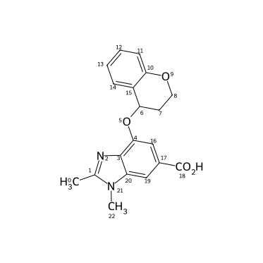 Cc1nc2c(OC3CCOc4ccccc43)cc(C(=O)O)cc2n1C